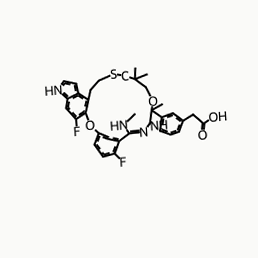 CN/C1=N\C(=N)C(C)(c2cccc(CC(=O)O)c2)OCC(C)(C)CSCCc2c(c(F)cc3[nH]ccc23)Oc2ccc(F)c1c2